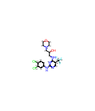 OC(CNc1nc(Nc2ccc(Cl)c(Cl)c2)ncc1C(F)(F)F)CN1CCOCC1